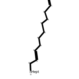 [CH]=CCCCCCCC=CCCCCCCCC